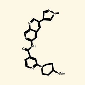 CNC1CCN(c2cc(C(=O)Nc3cc4cc(-c5cnn(C)c5)cnc4cn3)ccn2)CC1